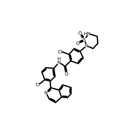 O=C(Nc1ccc(Cl)c(-c2nccc3ccccc23)c1)c1ccc(N2CCCNS2(=O)=O)cc1Cl